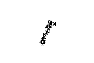 O=C(O)N1CCC(OC/C=N/OCc2ccccc2)C1